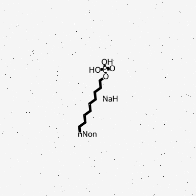 CCCCCCCCCCCCCCCCCCOP(=O)(O)O.[NaH]